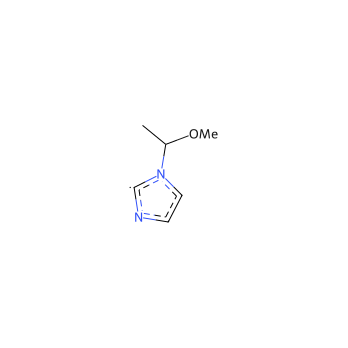 COC(C)n1[c]ncc1